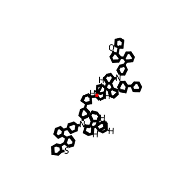 c1ccc(-c2cccc(N(c3ccc(-c4ccccc4-c4cccc5oc6ccccc6c45)cc3)c3cccc4c3-c3ccccc3C43[C@H]4CC5C[C@H]3C[C@@H](C4)C5c3cccc(-c4ccc(N(c5ccc(-c6ccccc6-c6cccc7sc8ccccc8c67)cc5)c5cccc6c5-c5ccccc5C65[C@H]6CCC7C[C@@H](C6)C[C@H]75)cc4)c3)c2)cc1